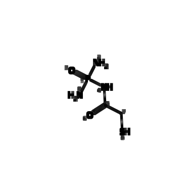 NP(N)(=O)NC(=O)CS